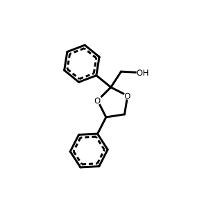 OCC1(c2ccccc2)OCC(c2ccccc2)O1